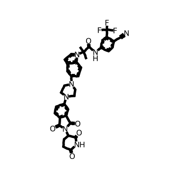 CC(C)(C(=O)Nc1ccc(C#N)c(C(F)(F)F)c1)n1ccc2cc(N3CCN(c4ccc5c(c4)C(=O)N(C4CCC(=O)NC4=O)C5=O)CC3)ccc21